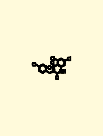 O=C1Nc2cc(Cl)cc(Cl)c2S(=O)(=O)N1Cc1ccc(Cl)cc1